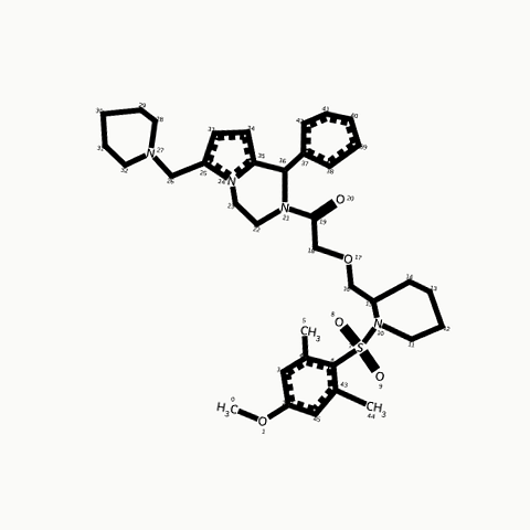 COc1cc(C)c(S(=O)(=O)N2CCCCC2COCC(=O)N2CCn3c(CN4CCCCC4)ccc3C2c2ccccc2)c(C)c1